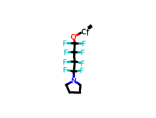 [CH2]=[Cf][O]C(F)(F)C(F)(F)C(F)(F)C(F)(F)N1CCCC1